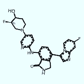 O=C1NCc2c(-c3cnc4cc(F)ccn34)ccc(Nc3ccc(N4CCC(O)[C@H](F)C4)cn3)c21